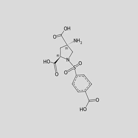 N[C@@]1(C(=O)O)C[C@H](C(=O)O)N(S(=O)(=O)c2ccc(C(=O)O)cc2)C1